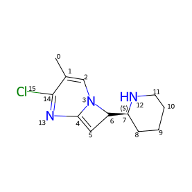 CC1=CN2C(=CC2[C@@H]2CCCCN2)N=C1Cl